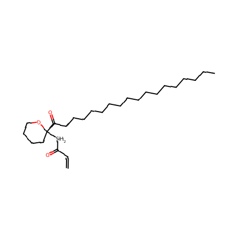 C=CC(=O)[SiH2]C1(C(=O)CCCCCCCCCCCCCCCCC)CCCCO1